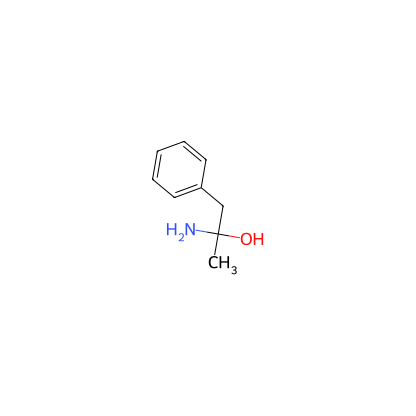 CC(N)(O)Cc1ccccc1